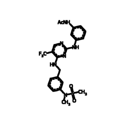 CC(=O)Nc1cccc(Nc2ncc(C(F)(F)F)c(NCc3cccc(N(C)S(C)(=O)=O)c3)n2)c1